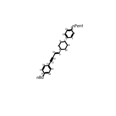 CCCCCc1ccc([C@H]2CC[C@H](C=CC#Cc3ccc(CCCC)cc3)CC2)cc1